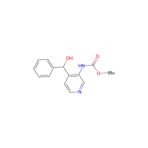 CC(C)(C)OC(=O)Nc1cnccc1C(O)c1ccccc1